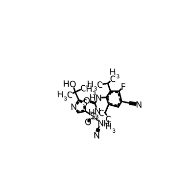 CC(C)c1cc(C#N)c(F)c(C(C)C)c1NC(=O)N=[S@@](=O)(NC#N)c1cnc(C(C)(C)O)s1